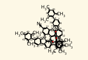 Cc1cc(C)c(-c2ccc3c4ccc(-c5c(C)cc(C)cc5C)cc4n(-c4cc(C#N)cc(-n5c6cc(-c7c(C)cc(C)cc7C)ccc6c6ccc(-c7c(C)cc(C)cc7C)cc65)c4-c4ccc(C(F)(F)F)cc4C#N)c3c2)c(C)c1